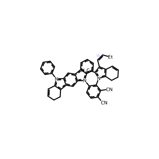 CC/C=C\c1c2c(n(-c3c(-n4c5ccccc5c5cc6c(cc54)c4c(n6-c5ccccc5)C=CCC4)ccc(C#N)c3C#N)c1C)CCC=C2